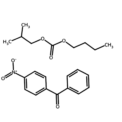 CCCCOC(=O)OCC(C)C.O=C(c1ccccc1)c1ccc([N+](=O)[O-])cc1